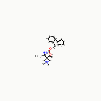 C=CC1([C@H](NC(=O)OCC2c3ccccc3-c3ccccc32)C(=O)O)C[N+](C)(C)C1